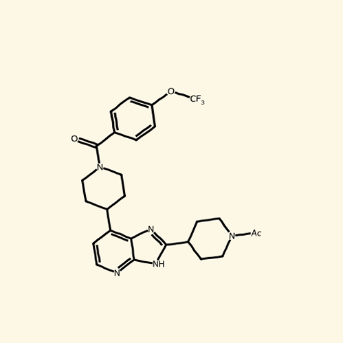 CC(=O)N1CCC(c2nc3c(C4CCN(C(=O)c5ccc(OC(F)(F)F)cc5)CC4)ccnc3[nH]2)CC1